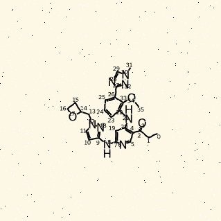 CCC(=O)c1cnc(Nc2ccn(CC3CCO3)n2)cc1Nc1cccc(-c2ncn(C)n2)c1OC